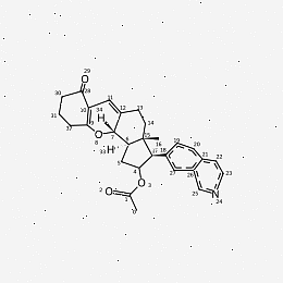 CC(=O)OC1C[C@H]2[C@@H]3OC4=C(C=C3CC[C@]2(C)[C@H]1c1ccc2ccncc2c1)C(=O)CCC4